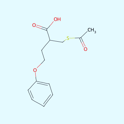 CC(=O)SCC(CCOc1ccccc1)C(=O)O